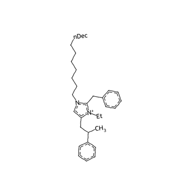 CCCCCCCCCCCCCCCCCn1cc(CC(C)c2ccccc2)[n+](CC)c1Cc1ccccc1